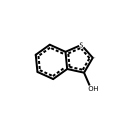 Oc1[c]sc2ccccc12